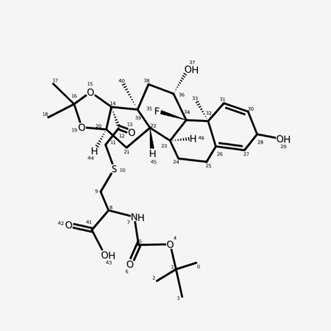 CC(C)(C)OC(=O)NC(CSCC(=O)[C@@]12OC(C)(C)O[C@@H]1C[C@H]1[C@@H]3CCC4=CC(O)C=C[C@]4(C)[C@@]3(F)[C@@H](O)C[C@@]12C)C(=O)O